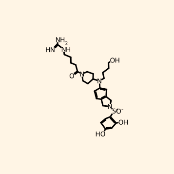 N=C(N)NCCCCC(=O)N1CCC(N(CCCCO)c2ccc3c(c2)CN([S+]([O-])c2ccc(O)cc2O)C3)CC1